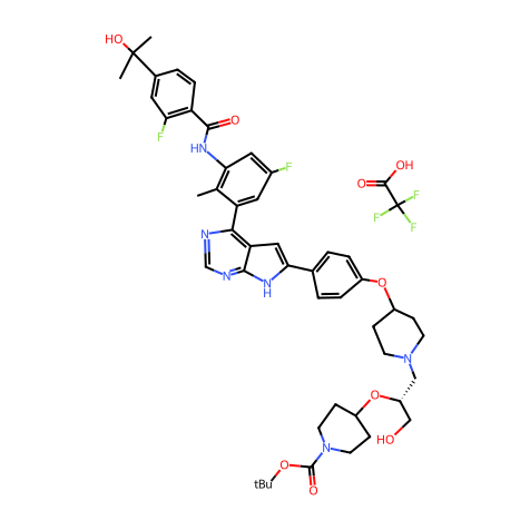 Cc1c(NC(=O)c2ccc(C(C)(C)O)cc2F)cc(F)cc1-c1ncnc2[nH]c(-c3ccc(OC4CCN(C[C@H](CO)OC5CCN(C(=O)OC(C)(C)C)CC5)CC4)cc3)cc12.O=C(O)C(F)(F)F